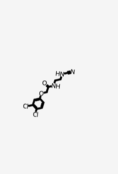 N#CNCCNC(=O)COc1ccc(Cl)c(Cl)c1